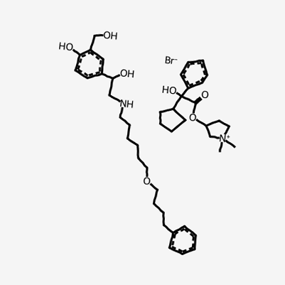 C[N+]1(C)CCC(OC(=O)C(O)(c2ccccc2)C2CCCC2)C1.OCc1cc(C(O)CNCCCCCCOCCCCc2ccccc2)ccc1O.[Br-]